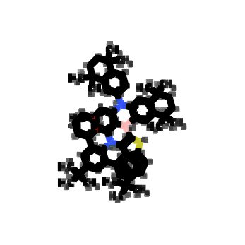 Cc1cc2c3c(c1)N(c1ccc4c(c1)C(C)(C)CCC4(C)C)c1cc4c(cc1B3C1=C(C3C=C(C(C)(C)C)C=CC3S1)N2c1c(-c2ccccc2)cc(C(C)(C)C)cc1-c1ccccc1)C(C)(C)CCC4(C)C